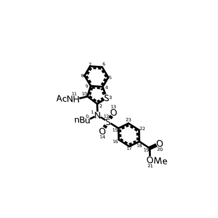 CCCCN(c1sc2ccccc2c1NC(C)=O)S(=O)(=O)c1ccc(C(=O)OC)cc1